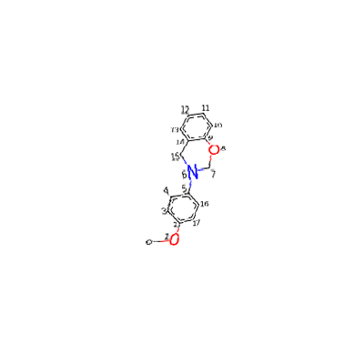 COc1ccc(N2COc3ccccc3C2)cc1